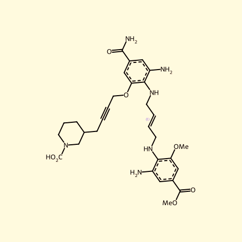 COC(=O)c1cc(N)c(NC/C=C/CNc2c(N)cc(C(N)=O)cc2OCC#CCC2CCCN(C(=O)O)C2)c(OC)c1